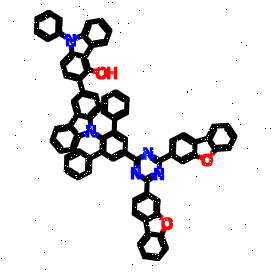 Oc1c(-c2ccc3c(c2)c2ccccc2n3-c2c(-c3ccccc3)cc(-c3nc(-c4ccc5c(c4)oc4ccccc45)nc(-c4ccc5c(c4)oc4ccccc45)n3)cc2-c2ccccc2)ccc2c1c1ccccc1n2-c1ccccc1